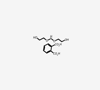 O=C(O)c1ccccc1C(=O)O.OCCONOCCO